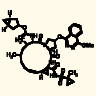 COc1nnc(O[C@@H]2C[C@H]3C(=O)N[C@]4(C(=O)NS(=O)(=O)C5(C)CC5)C[C@H]4/C=C\CC[C@@H](C)C[C@@H](C)[C@H](NC(=O)O[C@@H]4C[C@@H]5C[C@@H]5C4)C(=O)N3C2)c2ccccc12